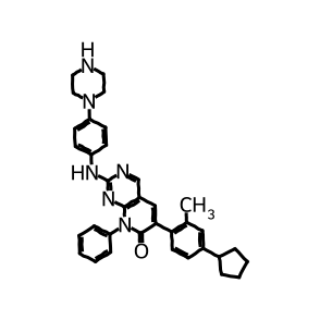 Cc1cc(C2CCCC2)ccc1-c1cc2cnc(Nc3ccc(N4CCNCC4)cc3)nc2n(-c2ccccc2)c1=O